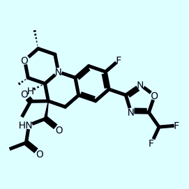 CC(=O)NC(=O)[C@]1(C(C)=O)Cc2cc(-c3noc(C(F)F)n3)c(F)cc2N2C[C@@H](C)O[C@@H](C)[C@@H]21